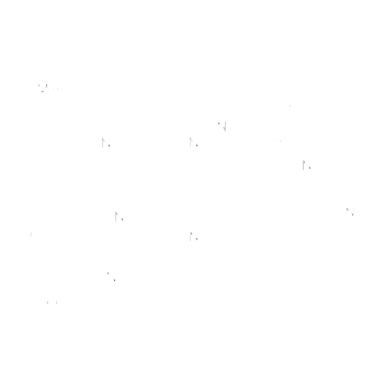 COc1ccc(-n2nc(C(=O)N3CCN(C)CC3)cc2-c2cnc(NC(=O)OC(C)(C)C)cn2)cn1